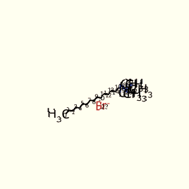 CCCCCCCCCCCCCCCC[N+](C)(C)C(C)(C)C.[Br-]